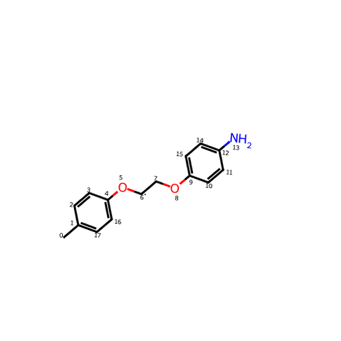 Cc1ccc(O[CH]COc2ccc(N)cc2)cc1